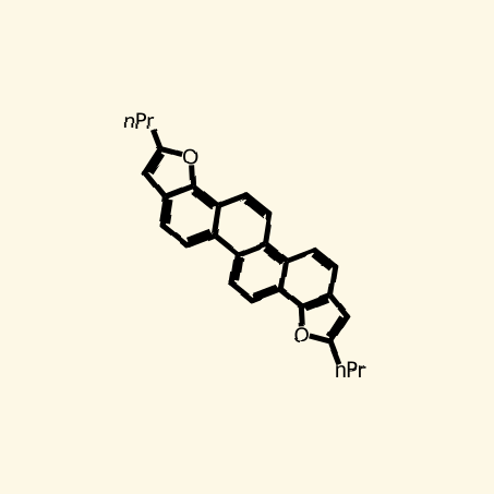 CCCc1cc2ccc3c4ccc5c(ccc6cc(CCC)oc65)c4ccc3c2o1